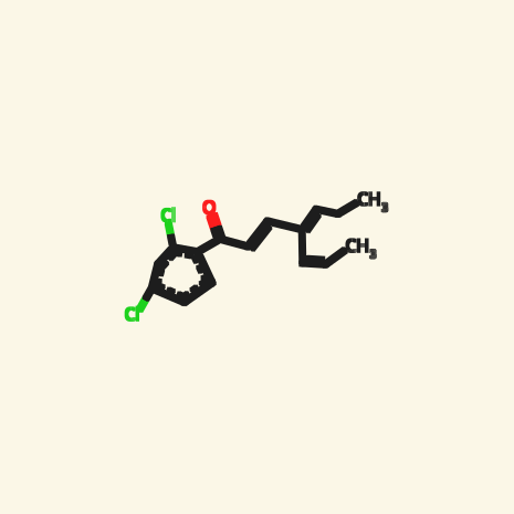 C\C=C/C(/C=C/C(=O)c1ccc(Cl)cc1Cl)=C\CC